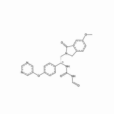 COc1ccc2c(c1)C(=O)N(C[C@H](NC(=O)NC=O)c1ccc(Oc3cncnc3)cc1)C2